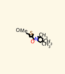 COCc1cc(C(=O)N2CC3(C)CC2CC(C)(C)C3)cs1